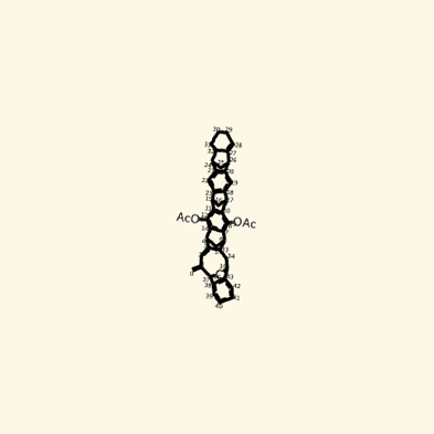 C=C1/C=C2/C3CC(c4c(OC(C)=O)c5c(c(OC(C)=O)c43)C3CC5c4cc5c(cc43)C3CC5C4=CCCCC43)C2CC2CC1c1ccccc12